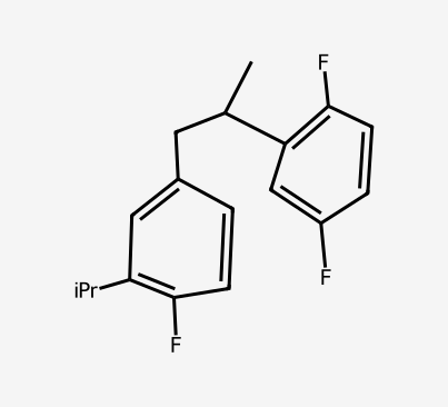 CC(C)c1cc(CC(C)c2cc(F)ccc2F)ccc1F